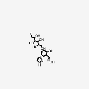 O=CC(O)C(O)C(O)C(O)CO.ON=Cc1ccccc1O.c1c[nH]nn1